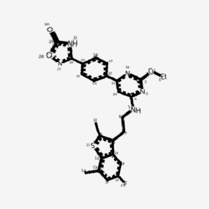 CCOc1nc(NCCc2c(C)sc3c(C)cc(F)cc23)cc(-c2ccc(-c3noc(=O)[nH]3)cc2)n1